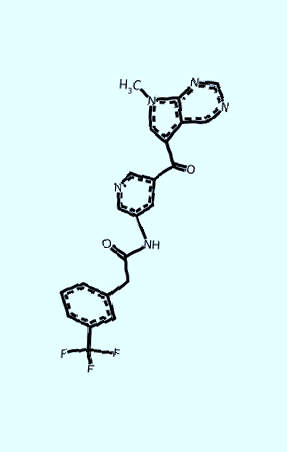 Cn1cc(C(=O)c2cncc(NC(=O)Cc3cccc(C(F)(F)F)c3)c2)c2cncnc21